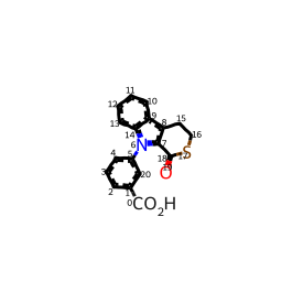 O=C(O)c1cccc(-n2c3c(c4ccccc42)CCSC3=O)c1